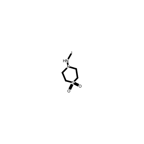 O=S1(=O)CCN(NI)CC1